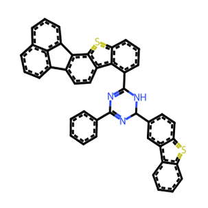 c1ccc(C2=NC(c3ccc4sc5ccccc5c4c3)NC(c3cccc4sc5c6c(ccc5c34)-c3cccc4cccc-6c34)=N2)cc1